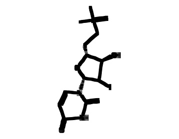 C=C1NC(=O)C=CN1[C@@H]1O[C@H](CCP(=C)(C)C)[C@@H](O)C1I